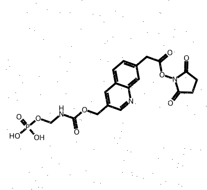 O=C(Cc1ccc2cc(COC(=O)NCOP(=O)(O)O)cnc2c1)ON1C(=O)CCC1=O